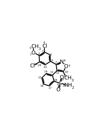 COc1c(Cl)cc(-c2noc(C)c2-c2ccccc2S(N)(=O)=O)cc1Cl